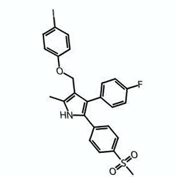 Cc1[nH]c(-c2ccc(S(C)(=O)=O)cc2)c(-c2ccc(F)cc2)c1COc1ccc(I)cc1